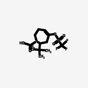 CC(C)(C)C1CC(OS(=O)(=O)C(F)(F)F)=CCCN1C(=O)O